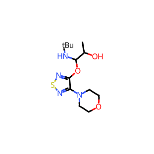 CC(O)C(NC(C)(C)C)Oc1nsnc1N1CCOCC1